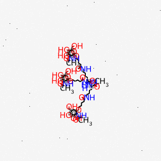 CNC(=O)[C@H](CCCCNC(=O)CCCCO[C@@H]1C[C@H](CO)[C@H](O)[C@H](O)[C@H]1NC(C)=O)NC(=O)[C@H](CCCCNC(=O)CCCCO[C@@H]1O[C@H](CO)[C@H](O)[C@H](O)[C@H]1NC(C)=O)NC(=O)CCCCO[C@@H]1O[C@H](CO)[C@H](O)[C@H](O)[C@H]1NC(C)=O